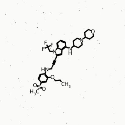 CCCOc1cc(S(C)(=O)=O)ccc1NCC#Cc1cc2c(NC3CCN(C4CCOCC4)CC3)cccc2n1CC(F)(F)F